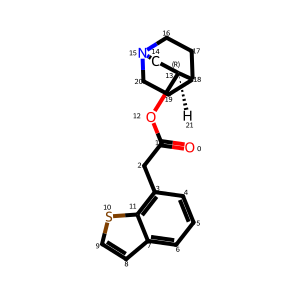 O=C(Cc1cccc2ccsc12)O[C@H]1CN2CCC1CC2